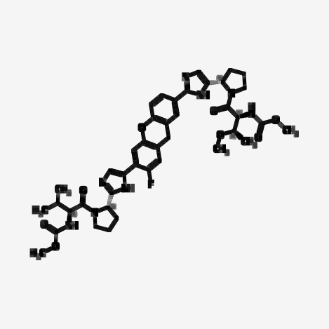 COC(=O)N[C@H](C(=O)N1CCC[C@H]1c1ncc(-c2cc3c(cc2F)Cc2cc(-c4ncc([C@@H]5CCCN5C(=O)[C@@H](NC(=O)OC)[C@@H](C)OC)[nH]4)ccc2O3)[nH]1)C(C)C